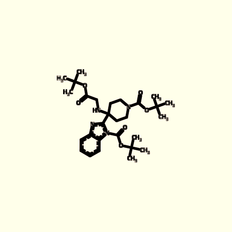 CC(C)(C)OC(=O)CNC1(c2nc3ccccc3n2C(=O)OC(C)(C)C)CCN(C(=O)OC(C)(C)C)CC1